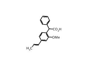 CC=Cc1ccc(C(C(=O)O)c2ccccc2)c(OC)c1